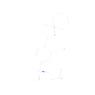 COc1cc([N+]2([C@H]3CCNC3)CCC[C@@H]2C)ccc1N1CCC2(CCCCC2)C1=O